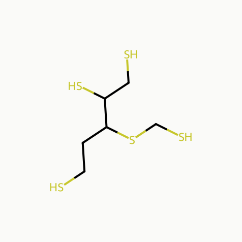 SCCC(SCS)C(S)CS